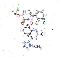 Cc1cc(-c2ncnn2C)c2cccc(OCc3c(Cl)cccc3C(C)NC(=O)COC(F)F)c2n1